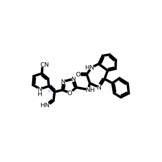 N#CC1=C/C(=C(/C=N)c2nnc(NC3N=C(c4ccccc4)c4ccccc4NC3=O)o2)NC=C1